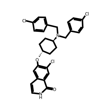 O=c1[nH]ccc2cc(O[C@H]3CC[C@H](N(Cc4ccc(Cl)cc4)Cc4ccc(Cl)cc4)CC3)c(Cl)cc12